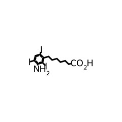 Nc1c(I)cc(I)c(CCCCCCC(=O)O)c1I